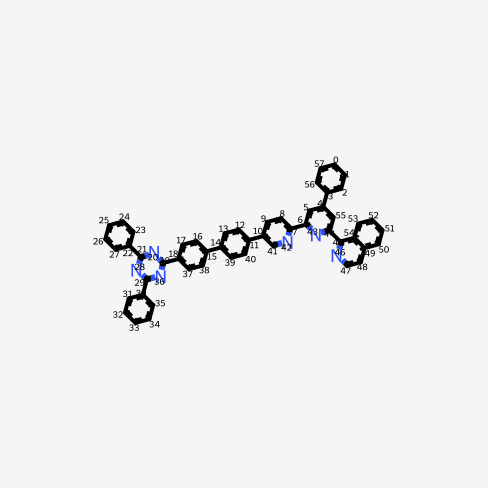 c1ccc(-c2cc(-c3ccc(-c4ccc(-c5ccc(-c6nc(-c7ccccc7)nc(-c7ccccc7)n6)cc5)cc4)cn3)nc(-c3nccc4ccccc34)c2)cc1